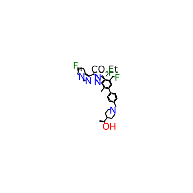 CCOC(=O)C(c1ncn2c1C[C@@H](F)C2)n1cc2c(C(F)F)cc(-c3ccc(CN4CCC(C(C)O)CC4)cc3)c(C)c2n1